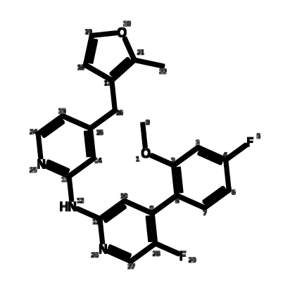 COc1cc(F)ccc1-c1cc(Nc2cc(Cc3ccoc3C)ccn2)ncc1F